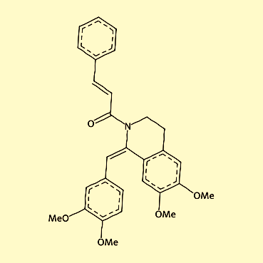 COc1ccc(C=C2c3cc(OC)c(OC)cc3CCN2C(=O)C=Cc2ccccc2)cc1OC